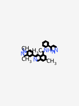 Cc1cc([C@@H](C)Nc2ccccc2-c2ccnnc2)c2cc(-c3ccc4c(c3)c(C)nn4C)ncc2c1